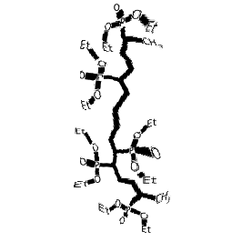 CCOP(=O)(OCC)C(C)CCC(CCCCC(C(CCC(C)P(=O)(OCC)OCC)P(=O)(OCC)OCC)P(=O)(OCC)OCC)P(=O)(OCC)OCC